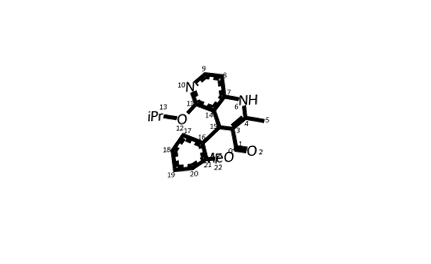 COC(=O)C1=C(C)Nc2ccnc(OC(C)C)c2C1c1ccccc1F